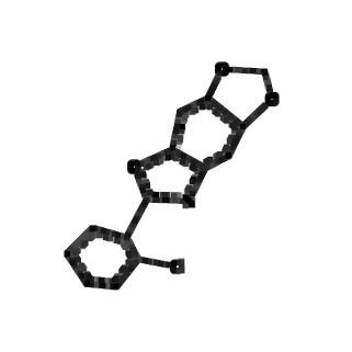 Clc1ccccc1-c1nc2cc3c(cc2o1)OCO3